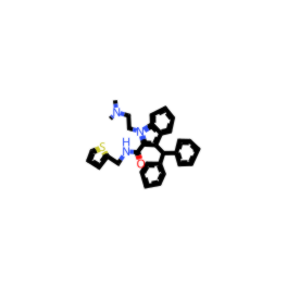 CN(C)CCn1c(C(=O)NCc2cccs2)c(C(c2ccccc2)c2ccccc2)c2ccccc21